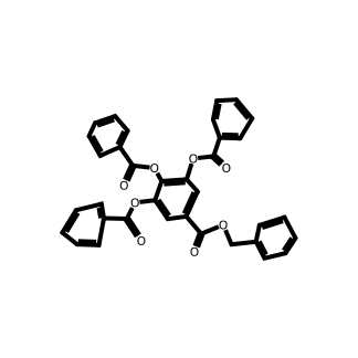 O=C(OCc1ccccc1)c1cc(OC(=O)c2ccccc2)c(OC(=O)c2ccccc2)c(OC(=O)c2ccccc2)c1